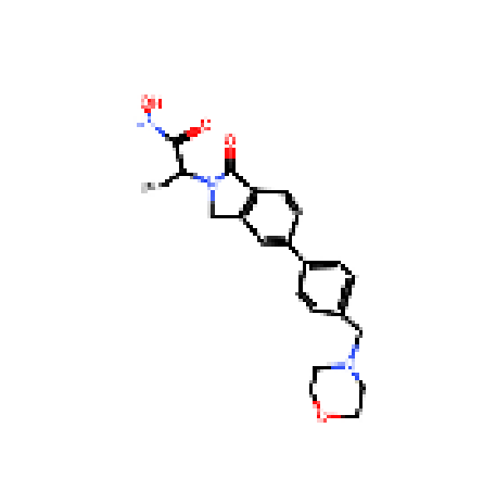 CC(C)C(C(=O)NO)N1Cc2cc(-c3ccc(CN4CCOCC4)cc3)ccc2C1=O